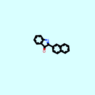 O=C1C(c2ccc3ccccc3c2)=Nc2ccccc21